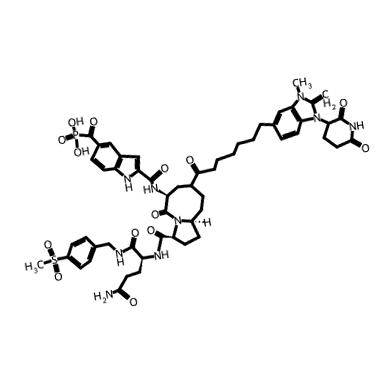 C=C1N(C)c2cc(CCCCCCC(=O)C3CC[C@H]4CC[C@@H](C(=O)N[C@@H](CCC(N)=O)C(=O)NCc5ccc(S(C)(=O)=O)cc5)N4C(=O)[C@@H](NC(=O)c4cc5cc(C(=O)P(=O)(O)O)ccc5[nH]4)C3)ccc2N1C1CCC(=O)NC1=O